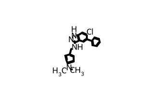 CN(C)c1ccc(CNc2n[nH]c3cc(Cl)c(-c4ccccc4)cc23)cc1